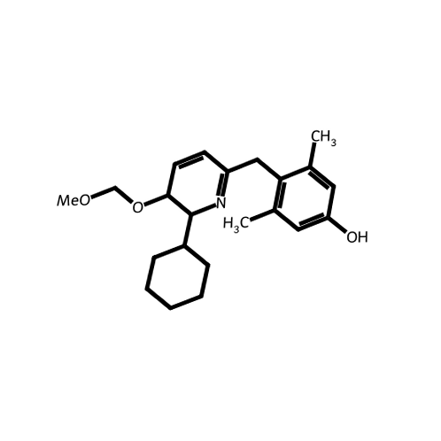 COCOC1C=CC(Cc2c(C)cc(O)cc2C)=NC1C1CCCCC1